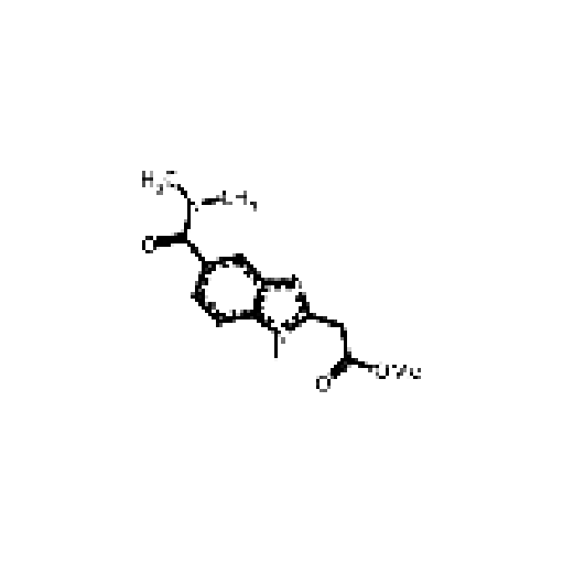 COC(=O)Cc1nc2cc(C(=O)N(C)C)ccc2[nH]1